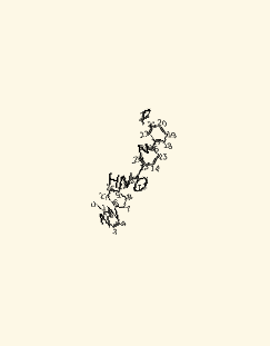 Cc1nccn1[C@H]1CC[C@H](NC(=O)c2ccc(-c3cccc(F)c3)nc2)CC1